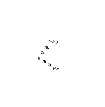 [Nb].[Nb].[Ni].[PbH2].[Ti].[Zn].[Zr]